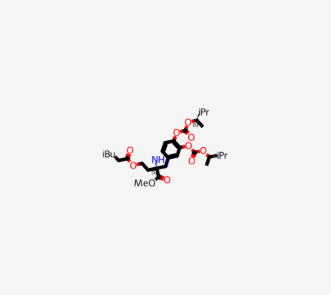 CCC(C)CC(=O)OCC[C@@](N)(Cc1ccc(OC(=O)O[C@@H](C)C(C)C)c(OC(=O)OC(C)C(C)C)c1)C(=O)OC